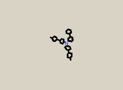 Cc1ccc(-c2ccc(N(c3ccc(-c4ccc(C)cc4)cc3)c3cccc(-c4ccccc4)c3)cc2)cc1